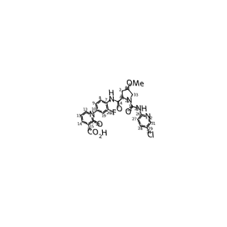 CO[C@@H]1C[C@H](C(=O)Nc2ccc(-n3cccc(C(=O)O)c3=O)cc2F)N(C(=O)Nc2ccc(Cl)cn2)C1